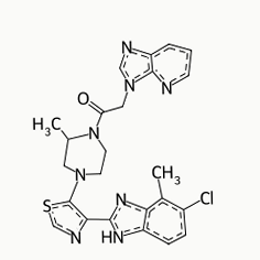 Cc1c(Cl)ccc2[nH]c(-c3ncsc3N3CCN(C(=O)Cn4cnc5cccnc54)C(C)C3)nc12